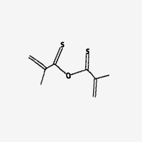 C=C(C)C(=S)OC(=S)C(=C)C